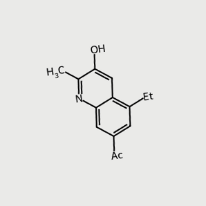 CCc1cc(C(C)=O)cc2nc(C)c(O)cc12